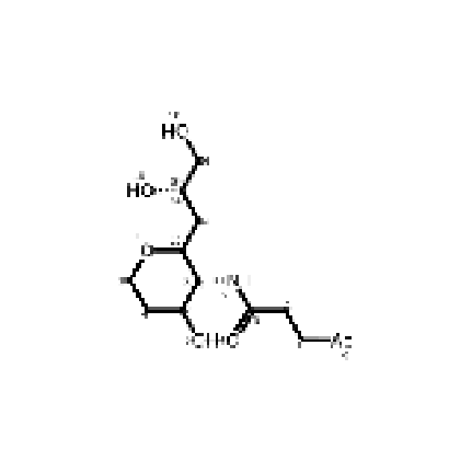 CC(=O)CCC(=O)N[C@@H]1C(O)CCOC1C[C@H](O)CO